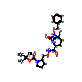 CC(C)(C)OC(=O)N1CCCC1CONC(=O)[C@@H]1CC[C@@H]2CN1C(=O)N2OCc1ccccc1